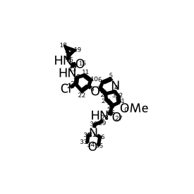 COc1cc2nccc(Oc3ccc(NC(=O)NC4CC4)c(Cl)c3)c2cc1C(=O)NCCN1CCOCC1